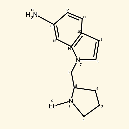 CCN1CCCC1Cn1ccc2ccc(N)cc21